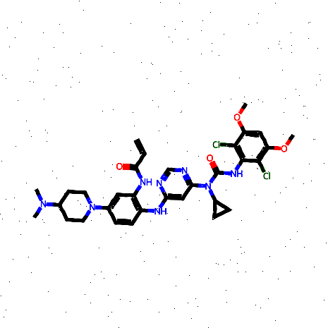 C=CC(=O)Nc1cc(N2CCC(N(C)C)CC2)ccc1Nc1cc(N(C(=O)Nc2c(Cl)c(OC)cc(OC)c2Cl)C2CC2)ncn1